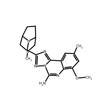 COc1cc(C)cc2c1nc(N)n1nc(CN3C4CCC3CN(C)C4)nc21